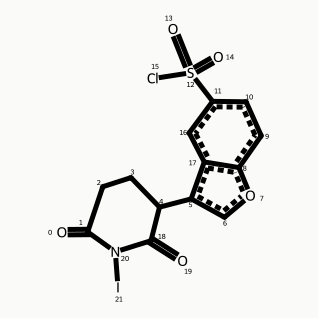 O=C1CCC(c2coc3ccc(S(=O)(=O)Cl)cc23)C(=O)N1I